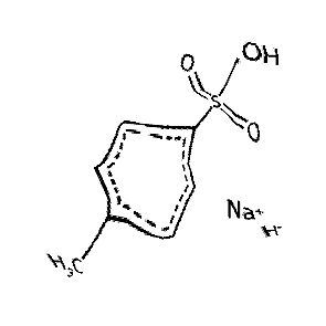 Cc1ccc(S(=O)(=O)O)cc1.[H-].[Na+]